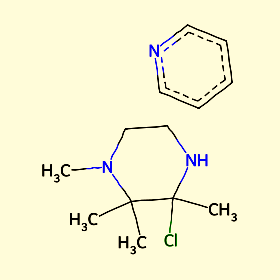 CN1CCNC(C)(Cl)C1(C)C.c1ccncc1